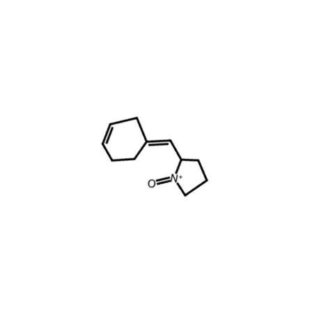 O=[N+]1CCCC1C=C1CC=CCC1